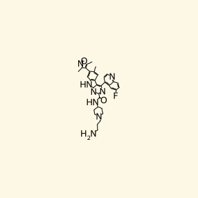 Cc1cc2c(cc1-c1c(C)noc1C)[nH]c1nc(C(=O)NC3CCN(CCCN)CC3)nc(-c3ccnc4ccc(F)cc34)c12